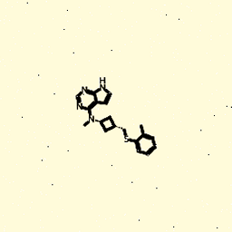 Cc1ccccc1SC[C@H]1C[C@@H](N(C)c2ncnc3[nH]ccc23)C1